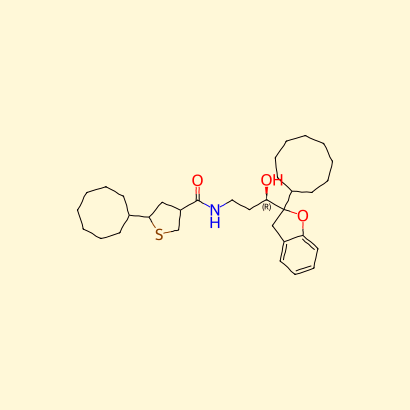 O=C(NCC[C@@H](O)C1(C2CCCCCCCC2)Cc2ccccc2O1)C1CSC(C2CCCCCCC2)C1